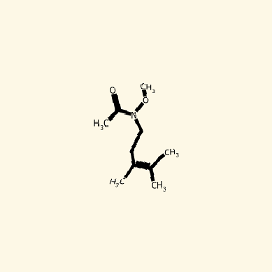 CON(CCC(C)=C(C)C)C(C)=O